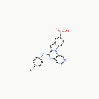 O=C(O)c1ccc2c(c1)cc1c(Nc3ccc(Cl)cc3)nc3ccncc3n12